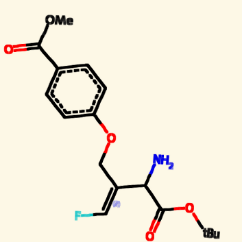 COC(=O)c1ccc(OC/C(=C\F)C(N)C(=O)OC(C)(C)C)cc1